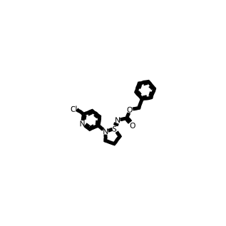 O=C(/N=S1\CCCN1c1ccc(Cl)nc1)OCc1ccccc1